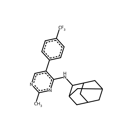 Cc1ncc(-c2ccc(C(F)(F)F)cc2)c(NC2C3CC4CC(C3)CC2C4)n1